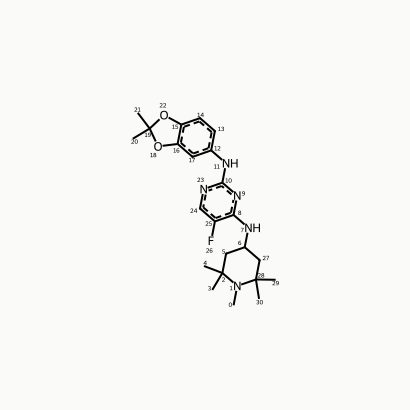 CN1C(C)(C)CC(Nc2nc(Nc3ccc4c(c3)OC(C)(C)O4)ncc2F)CC1(C)C